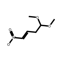 COC(CC=C[N+](=O)[O-])OC